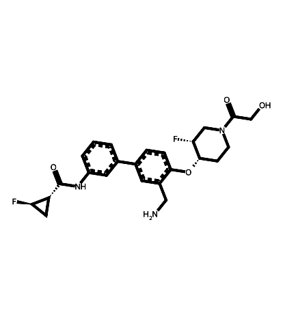 NCc1cc(-c2cccc(NC(=O)[C@@H]3C[C@H]3F)c2)ccc1O[C@H]1CCN(C(=O)CO)C[C@H]1F